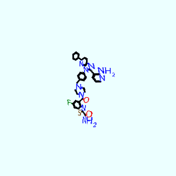 NC(=O)c1nc2c(C(=O)N3CCN(Cc4ccc(-n5c(-c6cccnc6N)nc6ccc(-c7ccccc7)nc65)cc4)CC3)cc(F)cc2s1